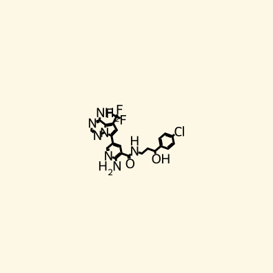 Nc1ncc(-c2cc(C(F)(F)F)c3c(N)ncnn23)cc1C(=O)NCCC(O)c1ccc(Cl)cc1